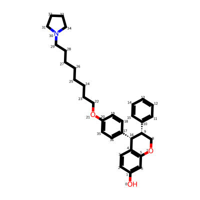 Oc1ccc2c(c1)OC[C@@H](c1ccccc1)[C@H]2c1ccc(OCCCCCCCCN2CCCC2)cc1